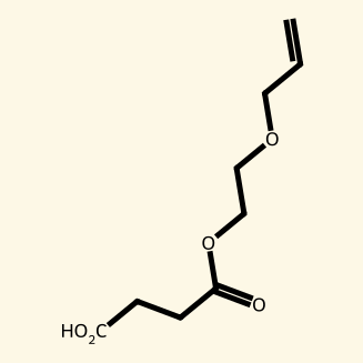 C=CCOCCOC(=O)CCC(=O)O